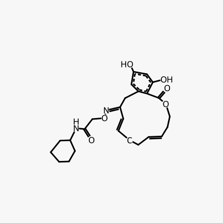 O=C(CO/N=C1\C=C\CC/C=C/CCOC(=O)c2c(O)cc(O)cc2C1)NC1CCCCC1